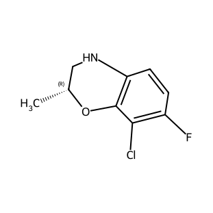 C[C@@H]1CNc2ccc(F)c(Cl)c2O1